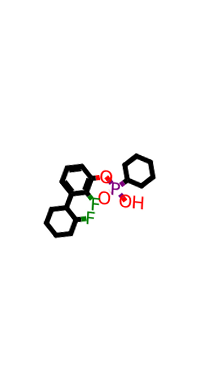 O=P(O)(Oc1cccc(C2CCCCC2F)c1F)C1CCCCC1